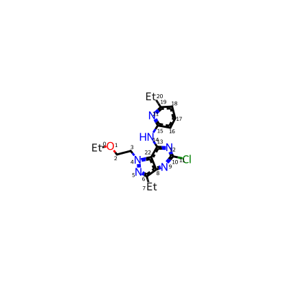 CCOCCn1nc(CC)c2nc(Cl)nc(Nc3cccc(CC)n3)c21